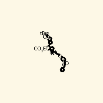 CCOC(=O)C[C@@H](c1ccc2c(c1)CN(C(=O)OC(C)(C)C)CC2)c1ccc2c(nnn2CCCOCC2CCN(C(=O)OCc3ccccc3)CC2)c1C